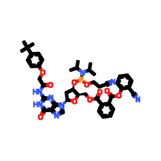 CC(C)N(C(C)C)P(OCCC#N)O[C@H]1C[C@H](n2cnc3c(=O)[nH]c(NC(=O)COc4ccc(C(C)(C)C)cc4)nc32)O[C@@H]1COC(=O)c1ccccc1C(=O)Oc1ccccc1C#N